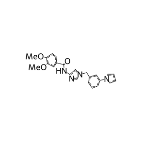 COc1ccc(C(=O)Nc2cn(Cc3cccc(-n4cccc4)c3)cn2)cc1OC